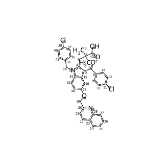 CC(C)(Cc1c(C(=O)c2ccc(Cl)cc2)c2cc(OCc3ccc4ccccc4n3)ccc2n1Cc1ccc(Cl)cc1)C(=O)O